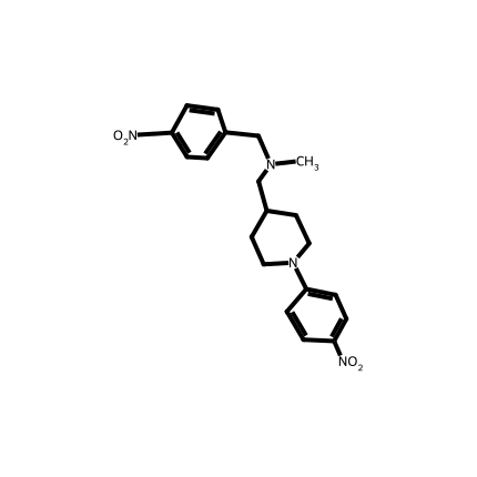 CN(Cc1ccc([N+](=O)[O-])cc1)CC1CCN(c2ccc([N+](=O)[O-])cc2)CC1